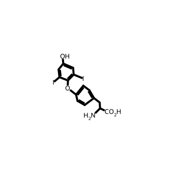 NC(Cc1ccc(Oc2c(I)cc(O)cc2I)cc1)C(=O)O